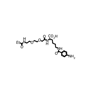 CCC(=O)NCCOCCOCC(=O)N[C@@H](CCCCNC(=O)c1ccc(N)cc1)C(=O)O